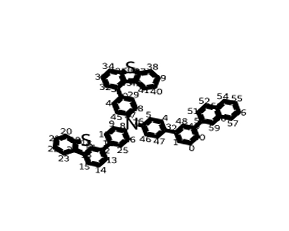 c1cc(-c2ccc(N(c3ccc(-c4cccc5c4sc4ccccc45)cc3)c3ccc(-c4cccc5sc6ccccc6c45)cc3)cc2)cc(-c2ccc3ccccc3c2)c1